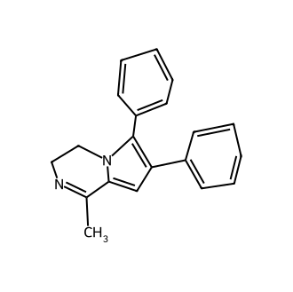 CC1=NCCn2c1cc(-c1ccccc1)c2-c1ccccc1